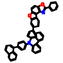 c1ccc(-c2nc3c(ccc4oc5cc(-c6ccc(N(c7ccc(-c8cccc9ccccc89)cc7)c7ccccc7-c7ccccc7)cc6)ccc5c43)o2)cc1